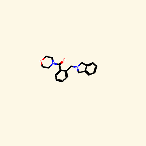 O=C(c1ccccc1CN1Cc2ccccc2C1)N1CCOCC1